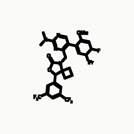 COC1=CC(F)C(C(C)C)C=C1c1cnc(N(C)C)nc1CN1C(=O)OC(c2cc(C(F)(F)F)cc(C(F)(F)F)c2)C12CCC2